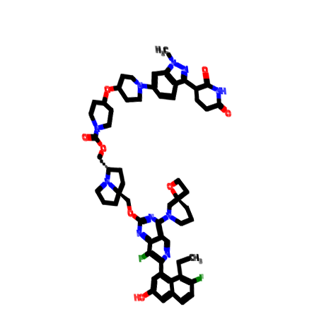 CCc1c(F)ccc2cc(O)cc(-c3ncc4c(N5CCC[C@@]6(CCO6)C5)nc(OC[C@@]56CCCN5[C@H](COC(=O)N5CCC(OC7CCN(c8ccc9c(C%10CCC(=O)NC%10=O)nn(C)c9c8)CC7)CC5)CC6)nc4c3F)c12